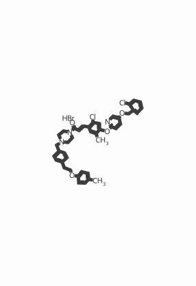 Br.Cc1ccc(OCCc2ccc(CN3CCN(C(=O)/C=C/c4cc(C)c(Oc5ccc(OCc6ccccc6Cl)cn5)cc4Cl)CC3)cc2)cc1